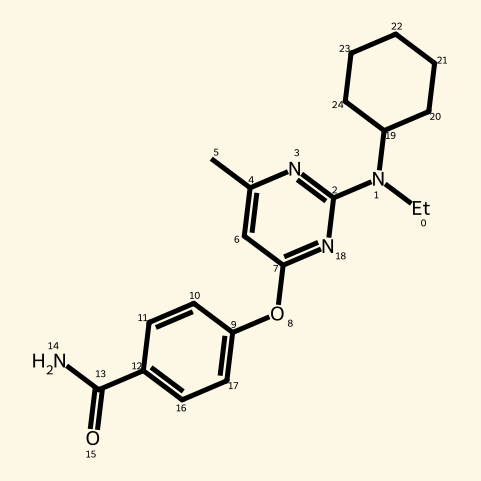 CCN(c1nc(C)cc(Oc2ccc(C(N)=O)cc2)n1)C1CCCCC1